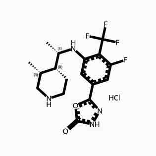 C[C@H](Nc1cc(-c2n[nH]c(=O)o2)cc(F)c1C(F)(F)F)[C@@H]1CCNC[C@@H]1C.Cl